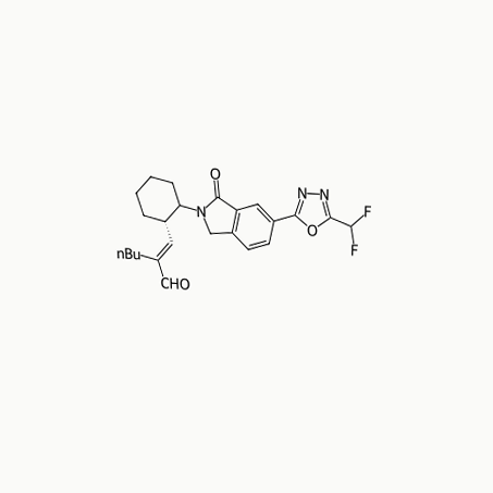 CCCC/C(C=O)=C\[C@@H]1CCCCC1N1Cc2ccc(-c3nnc(C(F)F)o3)cc2C1=O